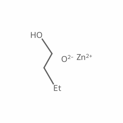 CCCCO.[O-2].[Zn+2]